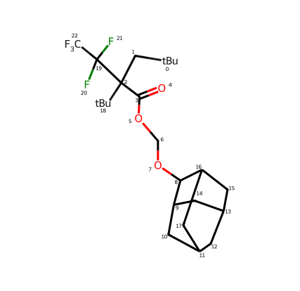 CC(C)(C)CC(C(=O)OCOC1C2CC3CC(C2)CC1C3)(C(C)(C)C)C(F)(F)C(F)(F)F